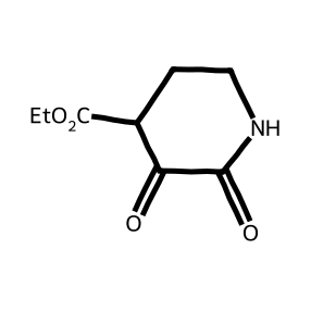 CCOC(=O)C1CCNC(=O)C1=O